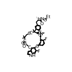 CCONC(=O)[C@@H](C)Cc1cccc(C2(C)CCCC(C)(C)CS(=O)(=O)CCc3c(c(F)cc4[nH]ccc34)Oc3ccc(F)c(c3)-c3nc2nn3C)c1